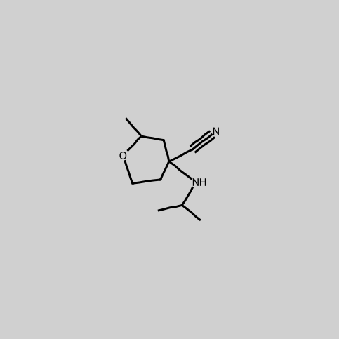 CC(C)NC1(C#N)CCOC(C)C1